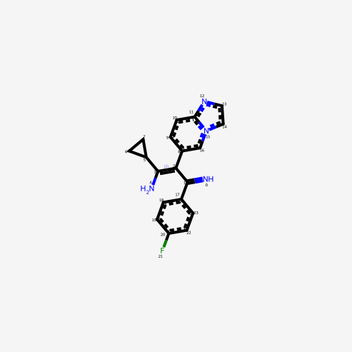 N=C(/C(=C(\N)C1CC1)c1ccc2nccn2c1)c1ccc(F)cc1